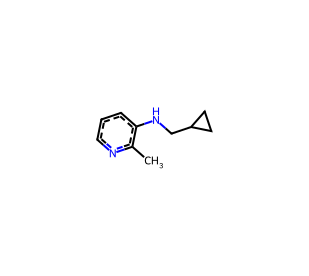 Cc1ncccc1NCC1CC1